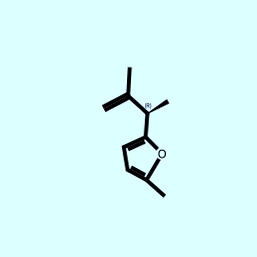 C=C(C)[C@@H](C)c1ccc(C)o1